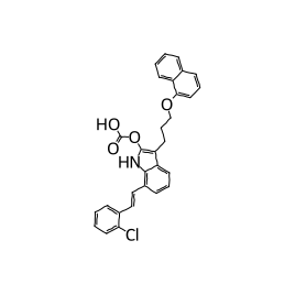 O=C(O)Oc1[nH]c2c(/C=C/c3ccccc3Cl)cccc2c1CCCOc1cccc2ccccc12